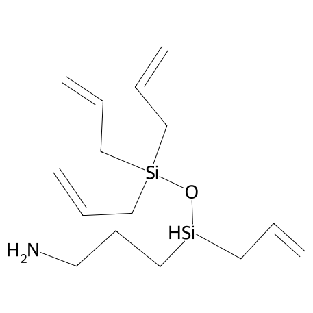 C=CC[SiH](CCCN)O[Si](CC=C)(CC=C)CC=C